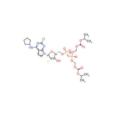 CC(C)OC(=O)OCOP(=O)(CP(=O)(O)OC[C@H]1O[C@@H](n2ccc3c(NC4CCCC4)nc(Cl)nc32)[C@@H](F)[C@@H]1O)OCOC(=O)OC(C)C